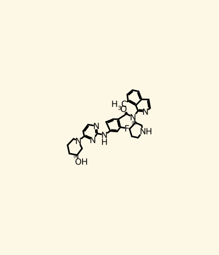 Cc1cccc2ccnc(N(C(=O)c3ccc(Nc4nccc(N5CCC[C@@H](O)C5)n4)cc3F)[C@@H]3CCCNC3)c12